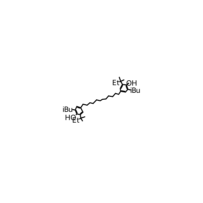 CCC(C)c1cc(CCCCCCCCCCCCc2cc(C(C)CC)c(O)c(C(C)(C)CC)c2)cc(C(C)(C)CC)c1O